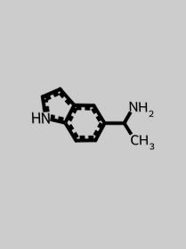 CC(N)c1ccc2[nH]ccc2c1